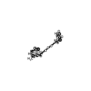 Cc1nc(Nc2ncc(C(=O)Nc3c(C)cccc3Cl)s2)cc(N2CCN(C(=O)CCCCCOCCOCCOCCCCCC(=O)Nc3cccc4c3C(=O)N(C3CCC(=O)NC3=O)C4=O)CC2)n1